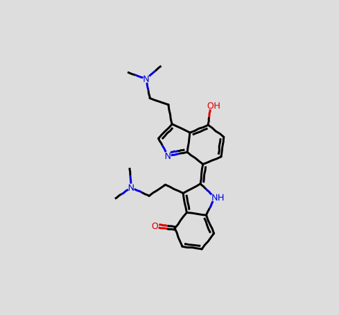 CN(C)CCC1=CN=c2c1c(O)ccc2=c1[nH]c2c(c1CCN(C)C)C(=O)C=CC=2